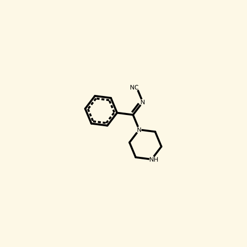 N#C/N=C(\c1ccccc1)N1CCNCC1